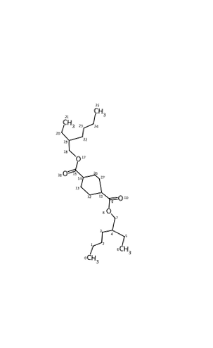 CCCCC(CC)COC(=O)C1CCC(C(=O)OCC(CC)CCCC)CC1